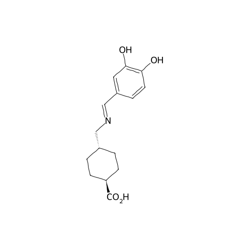 O=C(O)[C@H]1CC[C@H](CN=Cc2ccc(O)c(O)c2)CC1